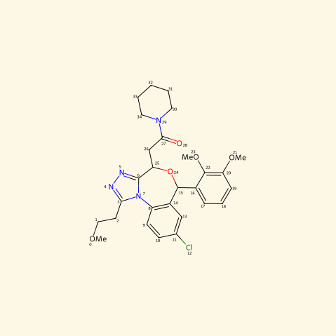 COCCc1nnc2n1-c1ccc(Cl)cc1C(c1cccc(OC)c1OC)OC2CC(=O)N1CCCCC1